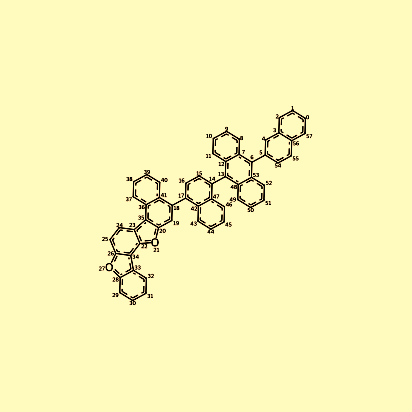 c1ccc2cc(-c3c4ccccc4c(-c4ccc(-c5cc6oc7c(ccc8oc9ccccc9c87)c6c6ccccc56)c5ccccc45)c4ccccc34)ccc2c1